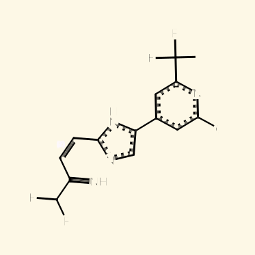 N=C(/C=C\c1ncc(-c2cc(Cl)nc(C(F)(F)F)c2)[nH]1)C(F)F